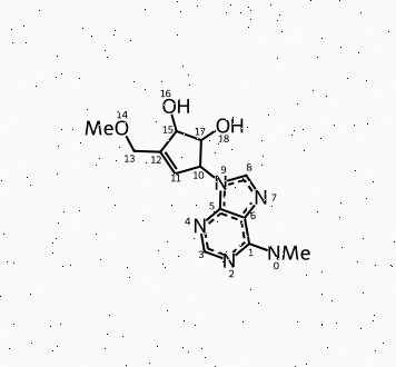 CNc1ncnc2c1ncn2C1C=C(COC)C(O)C1O